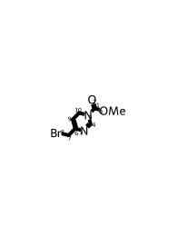 COC(=O)N1C=NC(CBr)=CC1